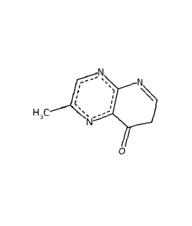 Cc1cnc2c(n1)C(=O)CC=N2